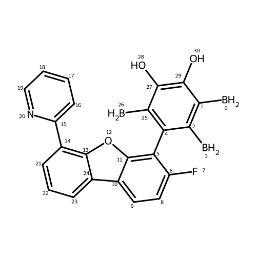 Bc1c(B)c(-c2c(F)ccc3c2oc2c(-c4ccccn4)cccc23)c(B)c(O)c1O